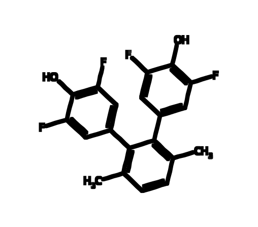 Cc1ccc(C)c(-c2cc(F)c(O)c(F)c2)c1-c1cc(F)c(O)c(F)c1